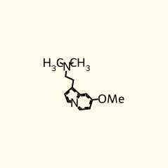 COc1ccn2ccc(CCN(C)C)c2c1